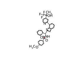 COc1ccc(S(=O)(=O)NC(c2cc3cccc(-c4cc([C@@](C)(O)C(F)(F)F)ccn4)c3s2)c2ccccc2Cl)cc1